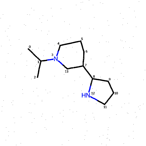 CC(C)N1CCCC(C2CCCN2)C1